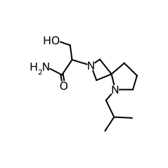 CC(C)CN1CCCC12CN(C(CO)C(N)=O)C2